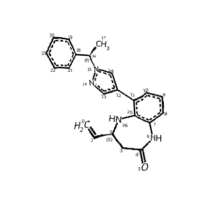 C=C[C@@H]1CC(=O)Nc2cccc(-c3cnn([C@H](C)c4ccccc4)c3)c2N1